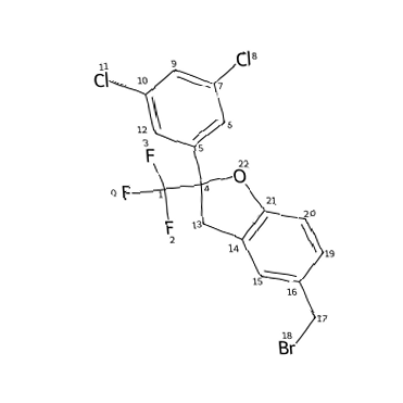 FC(F)(F)C1(c2cc(Cl)cc(Cl)c2)Cc2cc(CBr)ccc2O1